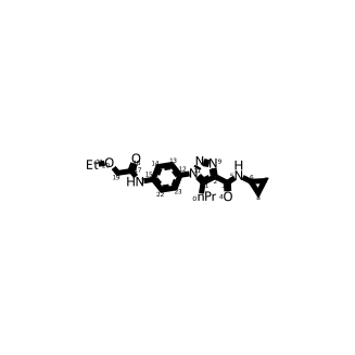 CCCc1c(C(=O)NC2CC2)nnn1-c1ccc(NC(=O)COCC)cc1